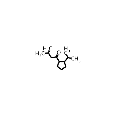 CC(C)CC(=O)C1CCCC1C(C)C